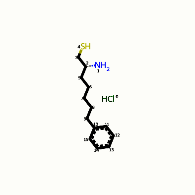 Cl.N[C@@H](CS)CCCCCc1ccccc1